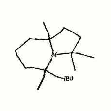 CCC(C)C1(C)CCCC2(C)CCC(C)(C)N21